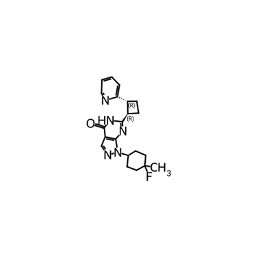 CC1(F)CCC(n2ncc3c(=O)[nH]c([C@@H]4CC[C@H]4c4ccccn4)nc32)CC1